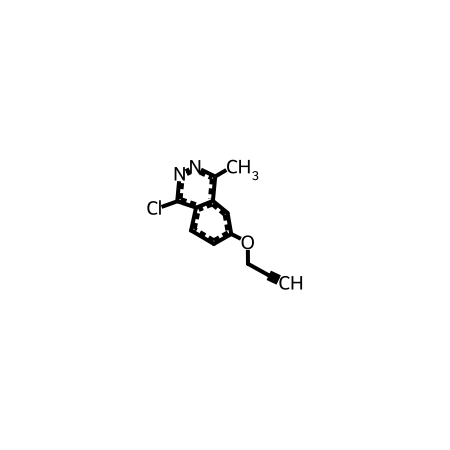 C#CCOc1ccc2c(Cl)nnc(C)c2c1